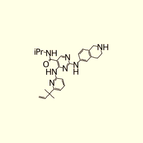 C=CC(C)(C)c1cccc(Nc2nc(Nc3ccc4c(c3)CCNC4)ncc2C(=O)NC(C)C)n1